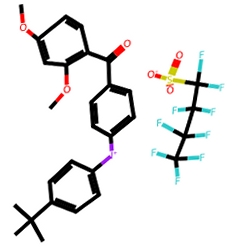 COc1ccc(C(=O)c2ccc([I+]c3ccc(C(C)(C)C)cc3)cc2)c(OC)c1.O=S(=O)([O-])C(F)(F)C(F)(F)C(F)(F)C(F)(F)F